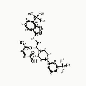 FC(F)(F)c1cccc(N2CCN(CCSc3nnc4c(C(F)(F)F)cccn34)CC2)c1.O=C(O)/C=C\C(=O)O